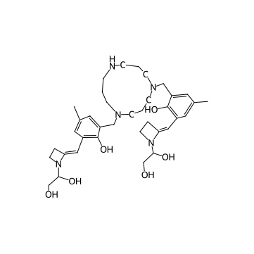 Cc1cc(C=C2CCN2C(O)CO)c(O)c(CN2CCCNCCCN(Cc3cc(C)cc(C=C4CCN4C(O)CO)c3O)CCC2)c1